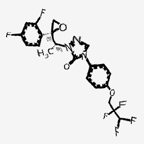 C[C@@H](n1ncn(-c2ccc(OCC(F)(F)C(F)F)cc2)c1=O)[C@@]1(c2ccc(F)cc2F)CO1